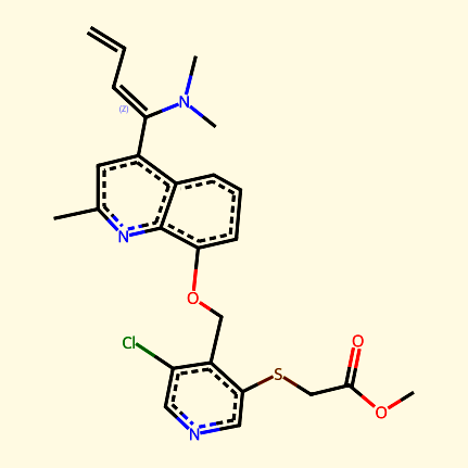 C=C/C=C(/c1cc(C)nc2c(OCc3c(Cl)cncc3SCC(=O)OC)cccc12)N(C)C